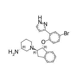 N[C@@H]1CCCN([C@@H]2Cc3ccccc3[C@H]2Oc2ccc(Br)cc2-c2cc[nH]n2)C1